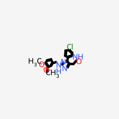 COc1ccc(CNc2ncc3c(n2)-c2ccc(Cl)cc2NC(=O)C3)cc1OC